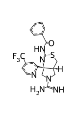 N=C(N)N1C[C@H]2CSC(NC(=O)c3ccccc3)=N[C@@]2(c2cc(C(F)(F)F)ccn2)C1